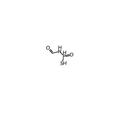 O=CN[PH](=O)S